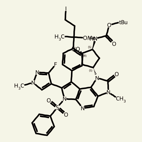 COC(C)(CCI)c1ccc(-c2c(-c3cn(C)nc3F)n(S(=O)(=O)c3ccccc3)c3ncc4c(c23)n([C@@H]2C[C@@H](O)[C@@H](NC(=O)OC(C)(C)C)C2)c(=O)n4C)cc1